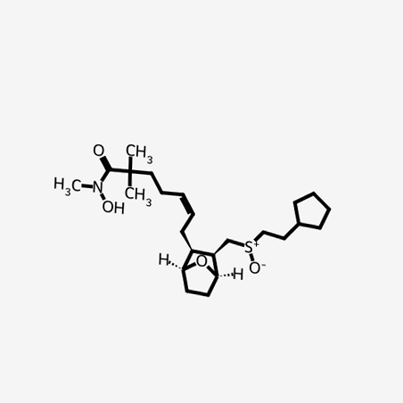 CN(O)C(=O)C(C)(C)CC/C=C\C[C@H]1[C@@H](C[S+]([O-])CCC2CCCC2)[C@H]2CC[C@@H]1O2